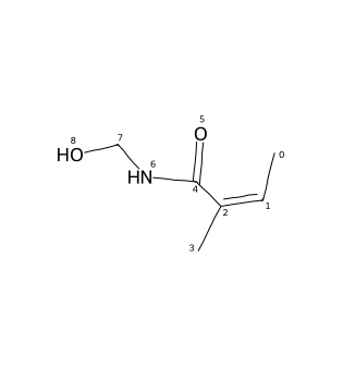 CC=C(C)C(=O)NCO